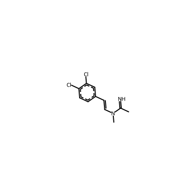 CC(=N)N(C)C=Cc1ccc(Cl)c(Cl)c1